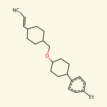 CCc1ccc(C2CCC(OCC3CCC(C=CC#N)CC3)CC2)cc1